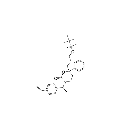 C=Cc1ccc([C@H](C)N2CCC(CCCO[Si](C)(C)C(C)(C)C)(c3ccccc3)OC2=O)cc1